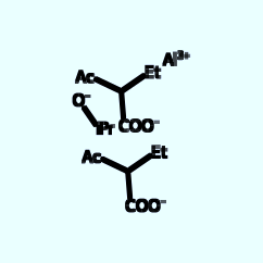 CC(C)[O-].CCC(C(C)=O)C(=O)[O-].CCC(C(C)=O)C(=O)[O-].[Al+3]